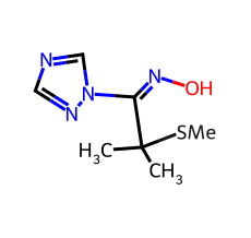 CSC(C)(C)C(=NO)n1cncn1